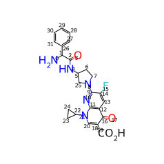 NC(C(=O)NC1CCN(c2nc3c(cc2F)c(=O)c(C(=O)O)cn3C2CC2)C1)c1ccccc1